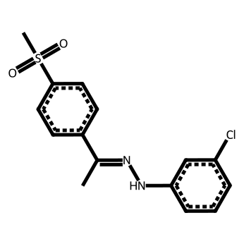 C/C(=N\Nc1cccc(Cl)c1)c1ccc(S(C)(=O)=O)cc1